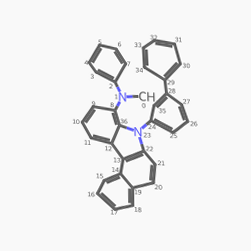 CN(c1ccccc1)c1cccc2c3c4ccccc4ccc3n(-c3cccc(-c4ccccc4)c3)c12